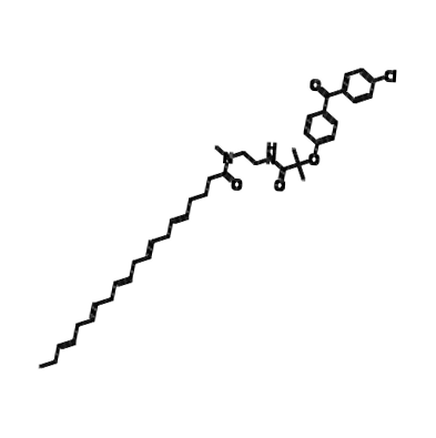 CCC=CCC=CCC=CCC=CCC=CCCCC(=O)N(C)CCNC(=O)C(C)(C)Oc1ccc(C(=O)c2ccc(Cl)cc2)cc1